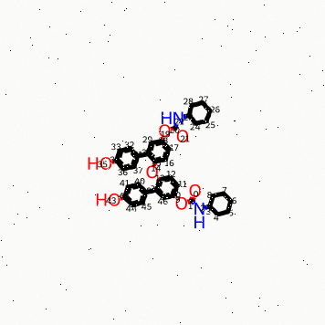 O=C(NC1CCCCC1)Oc1ccc(Oc2ccc(OC(=O)NC3CCCCC3)cc2-c2ccc(O)cc2)c(-c2ccc(O)cc2)c1